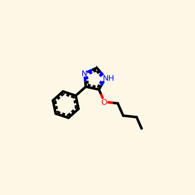 CCCCOc1[nH][c]nc1-c1ccccc1